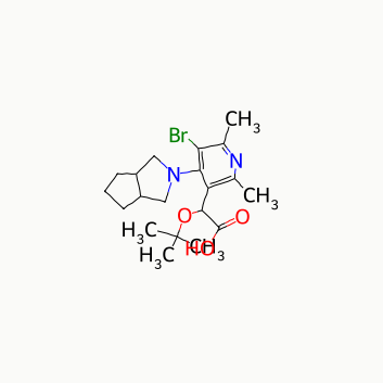 Cc1nc(C)c(C(OC(C)(C)C)C(=O)O)c(N2CC3CCCC3C2)c1Br